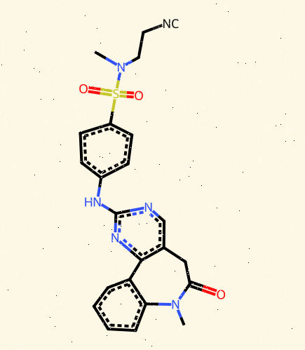 [C-]#[N+]CCN(C)S(=O)(=O)c1ccc(Nc2ncc3c(n2)-c2ccccc2N(C)C(=O)C3)cc1